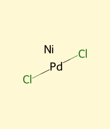 [Cl][Pd][Cl].[Ni]